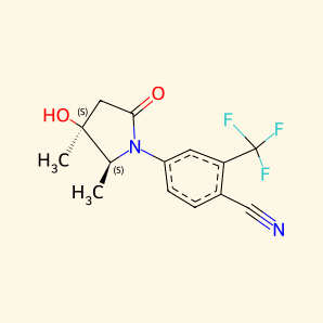 C[C@@H]1N(c2ccc(C#N)c(C(F)(F)F)c2)C(=O)C[C@]1(C)O